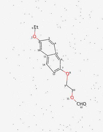 CCOc1ccc2cc(OCCOC=O)ccc2c1